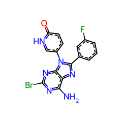 Nc1nc(Br)nc2c1nc(-c1cccc(F)c1)n2-c1ccc(=O)[nH]c1